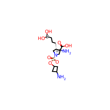 NC1CC(OS(=O)(=O)N2C[C@H](CCCB(O)O)[C@](N)(C(=O)O)C2)C1